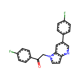 O=C(Cn1ccc2ncc(-c3ccc(F)cc3)cc21)c1ccc(F)cc1